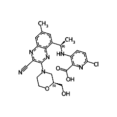 Cc1cc([C@@H](C)Nc2ccc(Cl)nc2C(=O)O)c2nc(N3CCO[C@H](CO)C3)c(C#N)nc2c1